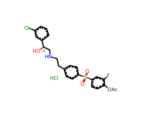 CC(=O)Oc1ccc(S(=O)(=O)c2ccc(CCNC[C@@H](O)c3cccc(Cl)c3)cc2)cc1F.Cl